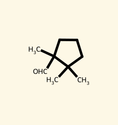 CC1(C)CCCC1(C)C=O